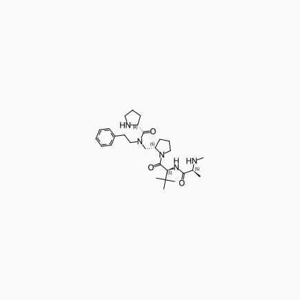 CN[C@@H](C)C(=O)N[C@H](C(=O)N1CCC[C@H]1CN(CCc1ccccc1)C(=O)[C@H]1CCCN1)C(C)(C)C